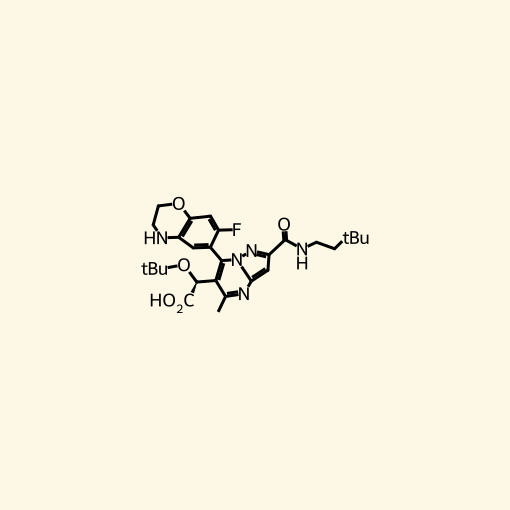 Cc1nc2cc(C(=O)NCCC(C)(C)C)nn2c(-c2cc3c(cc2F)OCCN3)c1[C@H](OC(C)(C)C)C(=O)O